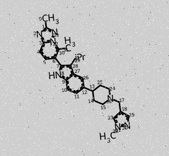 Cc1nc2ccc(-c3[nH]c4ccc(C5CCN(Cc6cnn(C)c6)CC5)cc4c3C(C)C)c(C)n2n1